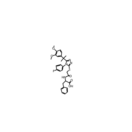 COc1ccc(C(C)(C)c2nnc(SCC(=O)NC(Cc3ccccc3)C(=O)O)n2-c2ccc(F)cc2)cc1OC